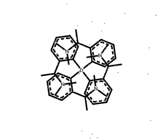 CC(c1cccc[c]1[Zr]([c]1ccccc1C(C)N(C)C)([c]1ccccc1C(C)N(C)C)[c]1ccccc1C(C)N(C)C)N(C)C